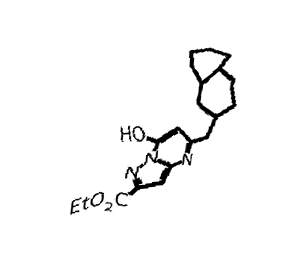 CCOC(=O)c1cc2nc(CC3CCC4CCCCC4C3)cc(O)n2n1